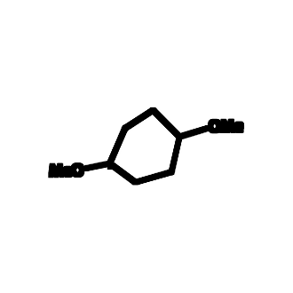 CO[C]1CCC(OC)CC1